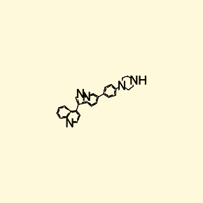 c1ccc2c(-c3cnn4cc(-c5ccc(N6CCNCC6)cc5)ccc34)ccnc2c1